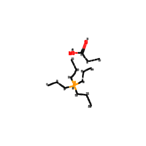 CCC(=O)O.CCC[PH](CCC)(CCC)CCC